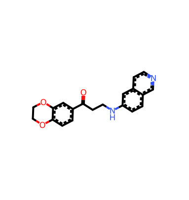 O=C(CCNc1ccc2cnccc2c1)c1ccc2c(c1)OCCO2